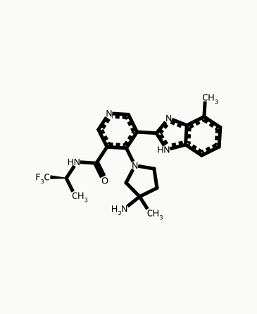 Cc1cccc2[nH]c(-c3cncc(C(=O)N[C@@H](C)C(F)(F)F)c3N3CCC(C)(N)C3)nc12